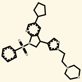 O=S(=O)(c1ccccc1)N1CC(c2cnn(CCN3CCOCC3)c2)c2cc(C3CCCC3)cnc21